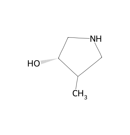 CC1CNC[C@H]1O